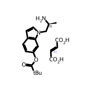 C[C@H](N)Cn1ccc2ccc(OC(=O)C(C)(C)C)cc21.O=C(O)/C=C/C(=O)O